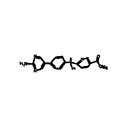 COC(=O)c1ccc(C(C)(c2ccc(-c3cnc(N)nc3)cc2)C(C)C)nc1